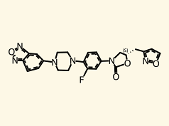 O=C1O[C@@H](Cc2ccon2)CN1c1ccc(N2CCN(c3ccc4nonc4c3)CC2)c(F)c1